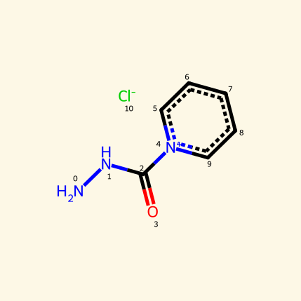 NNC(=O)[n+]1ccccc1.[Cl-]